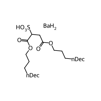 CCCCCCCCCCCCCOC(=O)CC(C(=O)OCCCCCCCCCCCCC)S(=O)(=O)O.[BaH2]